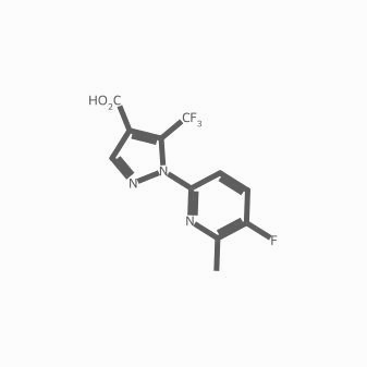 Cc1nc(-n2ncc(C(=O)O)c2C(F)(F)F)ccc1F